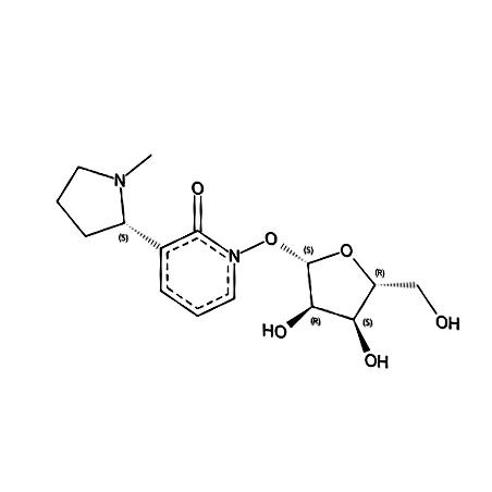 CN1CCC[C@H]1c1cccn(O[C@@H]2O[C@H](CO)[C@@H](O)[C@H]2O)c1=O